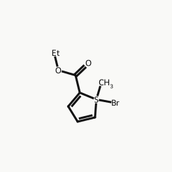 CCOC(=O)C1=CC=CS1(C)Br